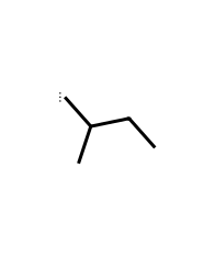 [C]C(C)CC